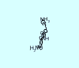 CC(C)(N)C(=O)N1CCN(C(=O)Nc2ccn(-c3ccc(CCCN4CCCC(N)CC4)cc3)c(=O)n2)CC1